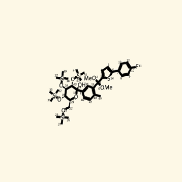 COC(OC)(c1ccc(-c2ccc(F)cc2)s1)c1cc([C@]2(O)O[C@@H](CO[Si](C)(C)C)[C@H](O[Si](C)(C)C)[C@@H](O[Si](C)(C)C)[C@@H]2O[Si](C)(C)C)ccc1C